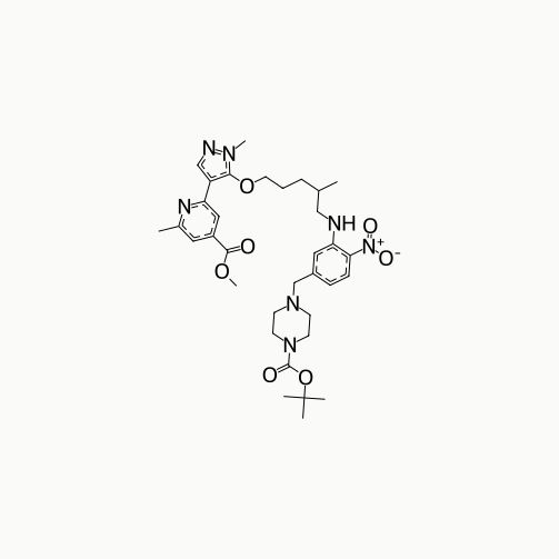 COC(=O)c1cc(C)nc(-c2cnn(C)c2OCCCC(C)CNc2cc(CN3CCN(C(=O)OC(C)(C)C)CC3)ccc2[N+](=O)[O-])c1